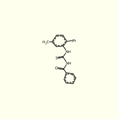 Cc1ccc(C(C)C)c(NC(=S)NC(=O)c2ccccc2)c1